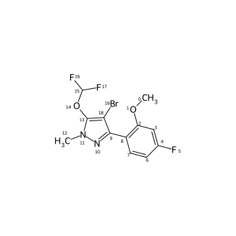 COc1cc(F)ccc1-c1nn(C)c(OC(F)F)c1Br